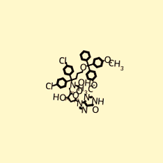 COc1ccc(C(OCCCC(c2ccc(Cl)cc2)(c2ccc(Cl)cc2)N(C[C@H]2O[C@@H](n3cnc4c(=O)[nH]cnc43)C[C@H]2O)C(=O)O)(c2ccccc2)c2ccc(OC)cc2)cc1